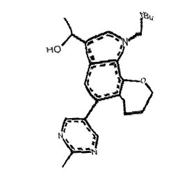 Cc1ncc(-c2cc3c(C(C)O)cn(CC(C)(C)C)c3c3c2CCCO3)cn1